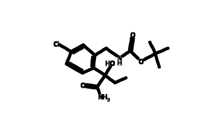 CCC(O)(C(N)=O)c1ccc(Cl)cc1CNC(=O)OC(C)(C)C